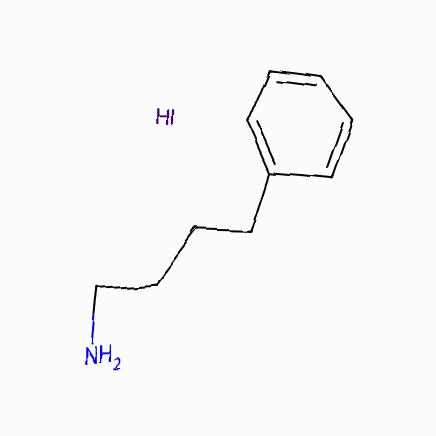 I.NCCCCc1ccccc1